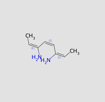 C\C=C(N)/C=C\C(N)=C/C